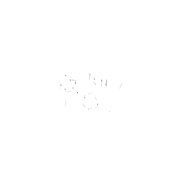 CCc1nnc2n1-c1ccc(Br)cc1C(N1CC=CCC1)=NC2